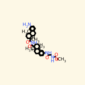 COC(=O)NCC(=O)Nc1ccc2c(c1)[C@@]1(C)CCC[C@](C)(C(=O)NC(=O)[C@@]3(C)CCC[C@]4(C)c5cc(N)ccc5CC[C@@H]34)[C@@H]1CC2